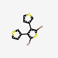 Brc1sc(Br)c(-c2ccsc2)c1-c1ccsc1